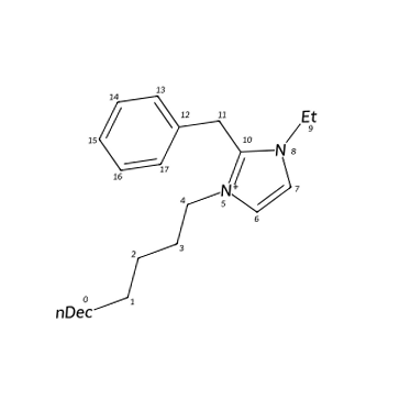 CCCCCCCCCCCCCC[n+]1ccn(CC)c1Cc1ccccc1